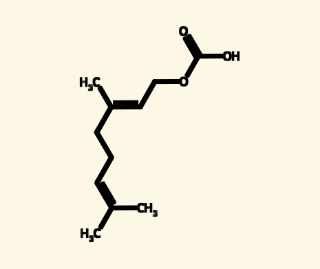 CC(C)=CCCC(C)=CCOC(=O)O